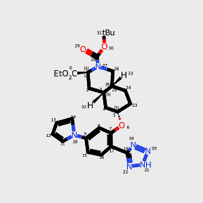 CCOC(=O)[C@@H]1C[C@H]2C[C@@H](Oc3cc(-n4cccc4)ccc3-c3nn[nH]n3)CC[C@H]2CN1C(=O)OC(C)(C)C